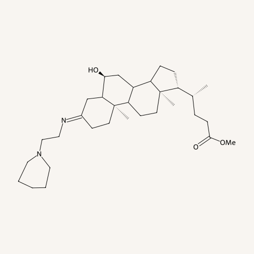 COC(=O)CC[C@@H](C)[C@H]1CCC2C3C[C@H](O)C4C/C(=N/CCN5CCCCC5)CC[C@]4(C)C3CC[C@@]21C